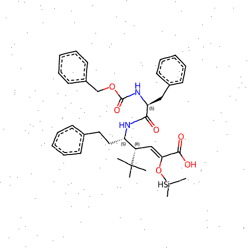 C[SiH](C)OC(=C[C@@H]([C@H](CCc1ccccc1)NC(=O)[C@H](Cc1ccccc1)NC(=O)OCc1ccccc1)C(C)(C)C)C(=O)O